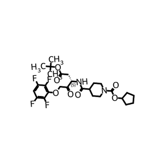 CC(C)(C)OC(=O)C[C@H](NC(=O)C1CCN(C(=O)OC2CCCC2)CC1)C(=O)COc1c(F)c(F)cc(F)c1F